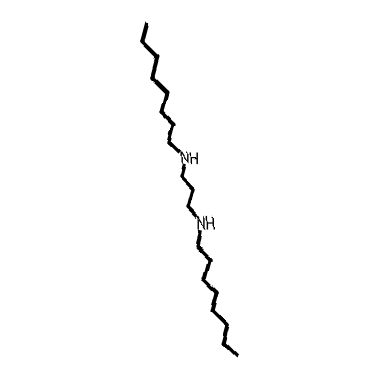 CCCCCCCCNCCCNCCCCCCCC